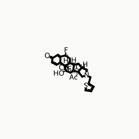 CC(=O)[C@@]12CN(Cc3cccs3)C[C@@H]1C[C@H]1[C@@H]3C[C@H](F)C4=CC(=O)C=C[C@]4(C)[C@@]3(F)[C@@H](O)C[C@@]12C